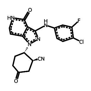 N#C[C@H]1CC(=O)CC[C@@H]1n1nc(Nc2ccc(Cl)c(F)c2)c2c(=O)[nH]ccc21